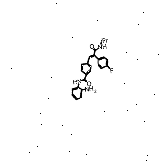 CC(C)NC(=O)C(=Cc1ccc(C(=O)Nc2ccccc2N)cc1)c1ccc(F)cc1